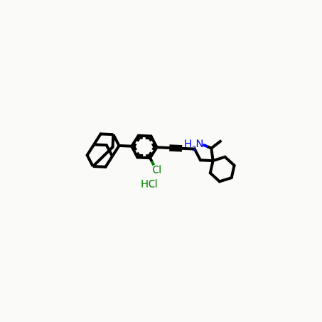 CC(N)C1(CCC#Cc2ccc(C3C4CC5CC(C4)CC3C5)cc2Cl)CCCCC1.Cl